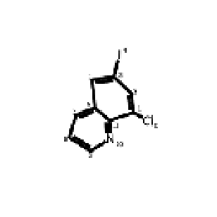 Clc1cc(I)cc2cccnc12